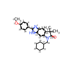 COc1ccc(-c2nc3cc4c(cc3[nH]2)N(CC2CCCCC2)C(=O)C4(C)C)cc1